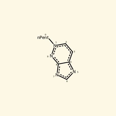 CCCCCn1ccc2ncnc-2n1